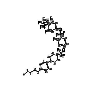 CCCCCc1ccc(C2CCC(C(F)(F)Oc3ccc(C(F)(F)Oc4cc(F)c(S(F)(F)(F)(F)F)c(F)c4)c(F)c3)CC2)cc1